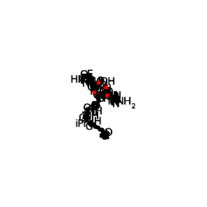 C=C1C=CC(=O)N1CCCCCC(=O)N[C@H](C(=O)N[C@@H](C)C(=O)Nc1ccc(CSP2(=O)OC[C@H]3O[C@@H](n4cc(F)c5c(=O)[nH]cnc54)[C@H](CP(=O)(O)OC[C@H]4O[C@@H](n5cnc6c(N)ncnc65)[C@H](F)[C@@H]4O2)[C@@H]3O)cc1)C(C)C